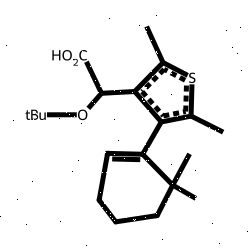 Cc1sc(C)c(C(OC(C)(C)C)C(=O)O)c1C1=CCCCC1(C)C